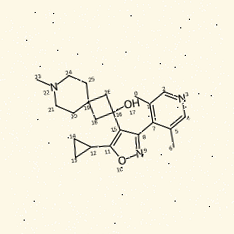 Cc1cncc(C)c1-c1noc(C2CC2)c1C1(O)CC2(CCN(C)CC2)C1